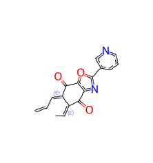 C=C/C=C1/C(=O)c2oc(-c3cccnc3)nc2C(=O)/C1=C/C